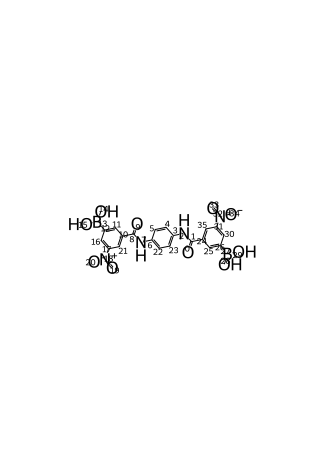 O=C(Nc1ccc(NC(=O)c2cc(B(O)O)cc([N+](=O)[O-])c2)cc1)c1cc(B(O)O)cc([N+](=O)[O-])c1